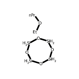 CCCOCC.O1[SiH2]O[SiH2]O[SiH2]O[SiH2]1